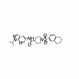 CC(C)n1ncc2cc(NC(=O)C3CCN(S(=O)(=O)c4ccc5c(c4)CCCC5)CC3)cnc21